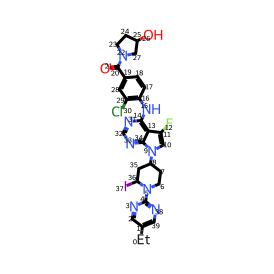 CCc1cnc(N2CCC(n3cc(F)c4c(Nc5ccc(C(=O)N6CCC(O)C6)cc5Cl)ncnc43)CC2I)nc1